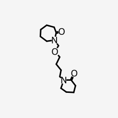 O=C1CCCCN1CCCCOCN1CCCCCC1=O